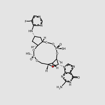 Nc1nc2c(ncn2[C@@H]2O[C@@H]3CO[P@](=O)(S)O[C@H]4C[C@H](Nc5ncncc5F)C[C@@H]4CO[P@@](=O)(S)O[C@@H]2[C@@H]3O)c(=O)[nH]1